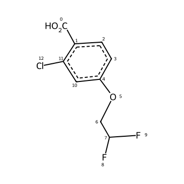 O=C(O)c1ccc(OCC(F)F)cc1Cl